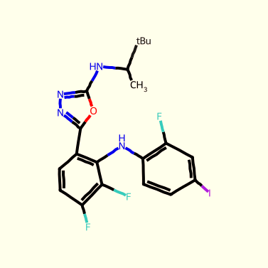 CC(Nc1nnc(-c2ccc(F)c(F)c2Nc2ccc(I)cc2F)o1)C(C)(C)C